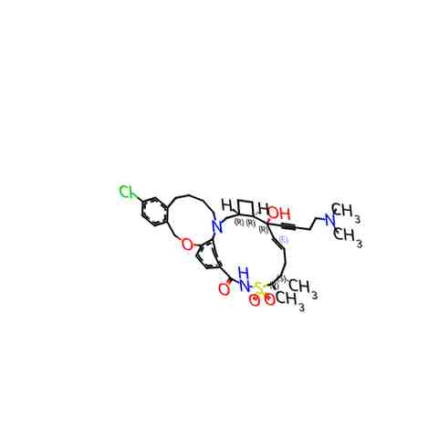 C[C@@H]1[C@@H](C)C/C=C/[C@@](O)(C#CCCN(C)C)[C@@H]2CC[C@H]2CN2CCCCc3cc(Cl)ccc3COc3ccc(cc32)C(=O)NS1(=O)=O